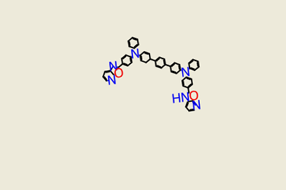 C1=CC(c2ccc(-c3ccc(N(c4ccccc4)c4ccc(C5Nc6cccnc6O5)cc4)cc3)cc2)CC=C1N(c1ccccc1)c1ccc(-c2nc3cccnc3o2)cc1